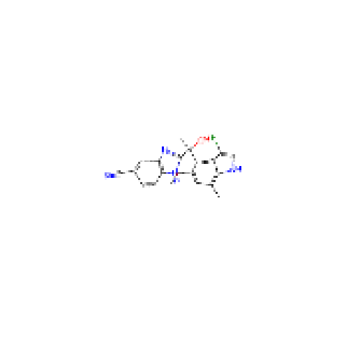 CCc1cc(C)c2[nH]cc(F)c2c1C(C)(O)c1nc2cc(C#N)ccc2[nH]1